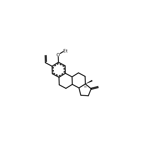 C=Cc1cc2c(cc1OCC)C1CC[C@]3(C)C(=C)CCC3C1CC2